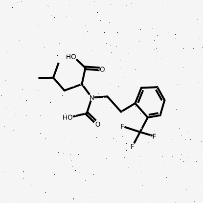 CC(C)CC(C(=O)O)N(CCc1ccccc1C(F)(F)F)C(=O)O